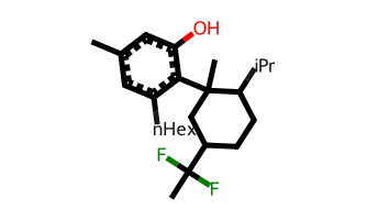 CCCCCCc1cc(C)cc(O)c1C1(C)CC(C(C)(F)F)CCC1C(C)C